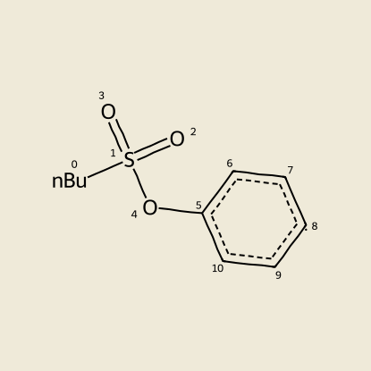 CCCCS(=O)(=O)Oc1cc[c]cc1